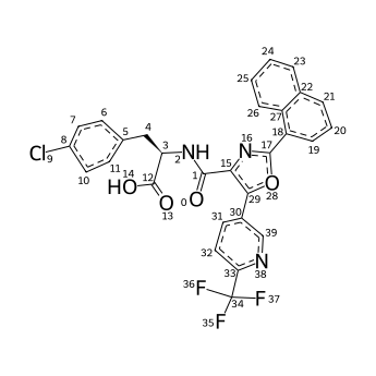 O=C(N[C@H](Cc1ccc(Cl)cc1)C(=O)O)c1nc(-c2cccc3ccccc23)oc1-c1ccc(C(F)(F)F)nc1